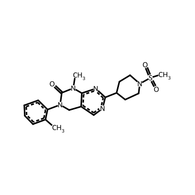 Cc1ccccc1N1Cc2cnc(C3CCN(S(C)(=O)=O)CC3)nc2N(C)C1=O